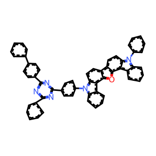 c1ccc(-c2ccc(-c3nc(-c4ccccc4)nc(-c4ccc(-n5c6ccccc6c6c7oc8c(ccc9c8c8ccccc8n9-c8ccccc8)c7ccc65)cc4)n3)cc2)cc1